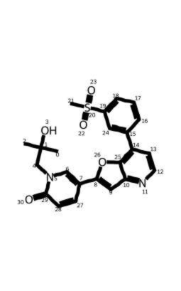 CC(C)(O)Cn1cc(-c2cc3nccc(-c4cccc(S(C)(=O)=O)c4)c3o2)ccc1=O